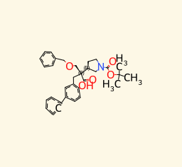 CC(C)(C)OC(=O)N1CC[C@H]([C@@](COCc2ccccc2)(Cc2cccc(-c3ccccc3)c2)C(=O)O)C1